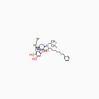 CC(C)CN(C(=O)CCCCCCCc1ccccc1)[C@@H]1CC[C@H]2[C@H]3Cc4c(O)c(O)cc5c4[C@@]2(CCN3CC2CC2)[C@H]1O5